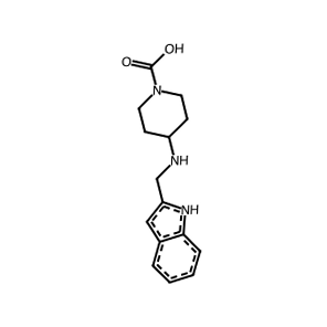 O=C(O)N1CCC(NCc2cc3ccccc3[nH]2)CC1